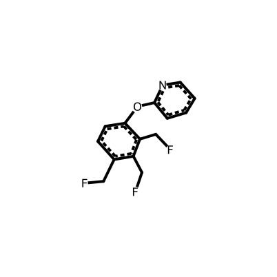 FCc1ccc(Oc2ccccn2)c(CF)c1CF